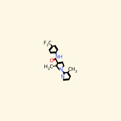 Cc1cccnc1N1CC=C(C(=O)Nc2ccc(C(F)(F)F)cc2)[C@H](C)C1